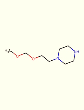 COCOCCN1CCNCC1